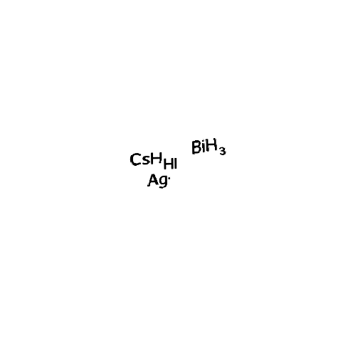 I.[Ag].[BiH3].[CsH]